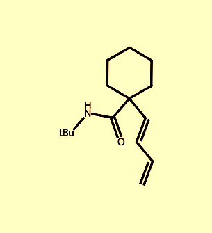 C=CC=CC1(C(=O)NC(C)(C)C)CCCCC1